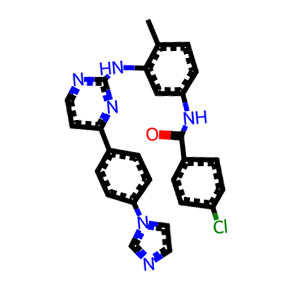 Cc1ccc(NC(=O)c2ccc(Cl)cc2)cc1Nc1nccc(-c2ccc(-n3ccnc3)cc2)n1